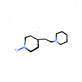 NN1CCC(CCN2CCCCC2)CC1